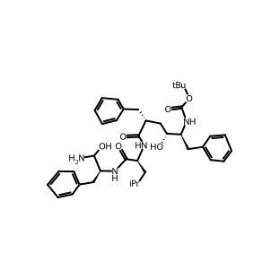 CC(C)C[C@H](NC(=O)[C@H](Cc1ccccc1)C[C@@H](O)[C@H](Cc1ccccc1)NC(=O)OC(C)(C)C)C(=O)N[C@@H](Cc1ccccc1)C(N)O